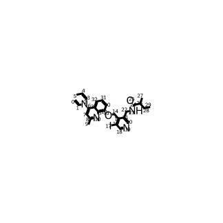 C=CN(/C=C\C)c1cc(C)nc2c(OCc3c(I)cncc3CNC(=O)C(C)CC)cccc12